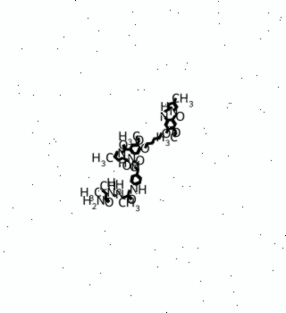 COc1cc2c(cc1OCCCCCOc1cc3c(cc1OC)C(=O)N1C=C(C)C[C@H]1[C@H](O)N3C(=O)OCc1ccc(NCC(=O)[C@H](C)NCN[C@H](C(N)=O)C(C)C)cc1)N=C[C@@H]1CC(C)=CN1C2=O